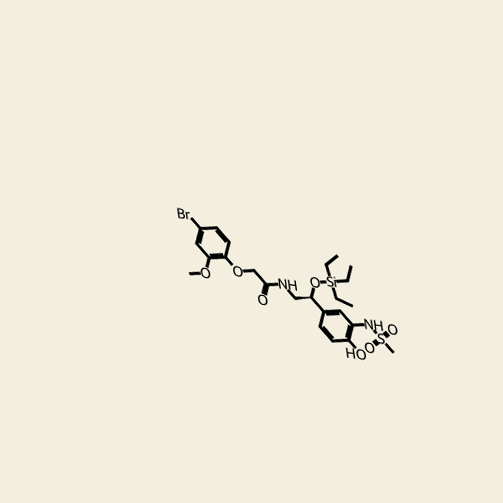 CC[Si](CC)(CC)O[C@H](CNC(=O)COc1ccc(Br)cc1OC)c1ccc(O)c(NS(C)(=O)=O)c1